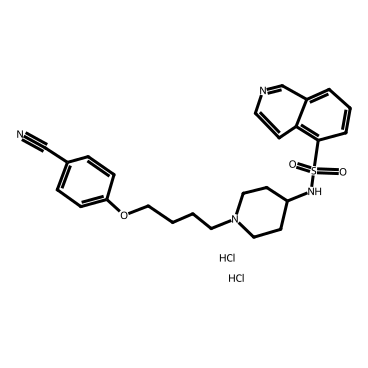 Cl.Cl.N#Cc1ccc(OCCCCN2CCC(NS(=O)(=O)c3cccc4cnccc34)CC2)cc1